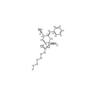 CCCCCCCC(=O)OC1(N)C=CC(C#N)C(=Cc2ccccc2)C1